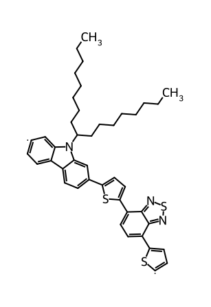 CCCCCCCCC(CCCCCCCC)n1c2c[c]ccc2c2ccc(-c3ccc(-c4ccc(-c5cc[c]s5)c5nsnc45)s3)cc21